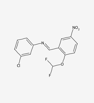 O=[N+]([O-])c1ccc(OC(F)F)c(C=Nc2cccc(Cl)c2)c1